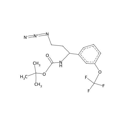 CC(C)(C)OC(=O)NC(CCN=[N+]=[N-])c1cccc(OC(F)(F)F)c1